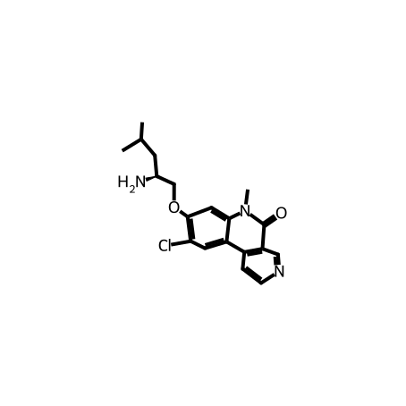 CC(C)C[C@H](N)COc1cc2c(cc1Cl)c1ccncc1c(=O)n2C